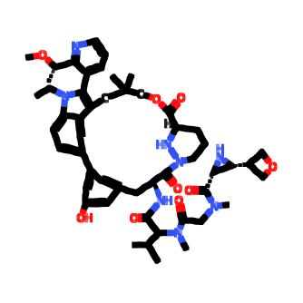 CCn1c(-c2cccnc2[C@H](C)OC)c2c3cc(ccc31)-c1cc(O)cc(c1)C[C@H](NC(=O)C(C(C)C)N(C)C(=O)CN(C)C(=O)[C@@H]1N[C@@H]1C1COC1)C(=O)N1CCC[C@H](N1)C(=O)OCC(C)(C)C2